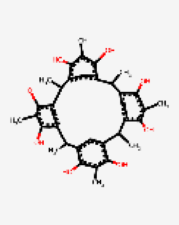 Cc1c(O)c2cc(c1O)C(C)c1cc(c(O)c(C)c1O)C(C)c1cc(c(O)c(C)c1O)C(C)c1cc(c(O)c(C)c1O)C2C